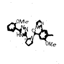 COc1cc(C(=O)N2CCC[C@H]2c2nnc(-c3ccccc3OC)[nH]2)c(-n2nccn2)cc1C